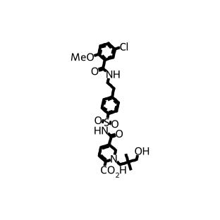 COc1ccc(Cl)cc1C(=O)NCCc1ccc(S(=O)(=O)NC(=O)C2=CC=C(C(=O)O)N(CC(C)(C)CO)C2)cc1